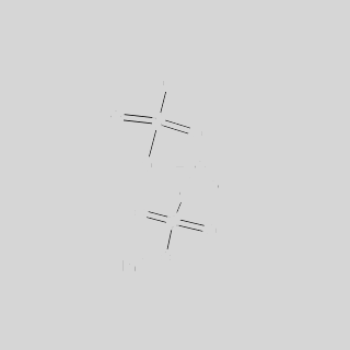 O.O.O=S(=O)([O-])[O-].O=S(=O)([O-])[O-].[Th+4]